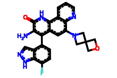 Nc1c(-c2ccc(F)c3[nH]ncc23)c2cc(N3CC4(COC4)C3)c3ncccc3c2[nH]c1=O